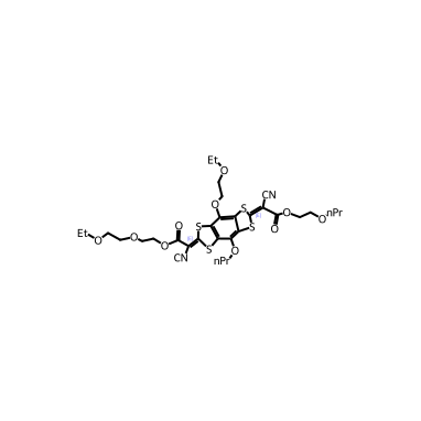 [C-]#[N+]/C(C(=O)OCCOCCOCC)=C1\Sc2c(OCCC)c3c(c(OCCOCC)c2S1)S/C(=C(\C#N)C(=O)OCCOCCC)S3